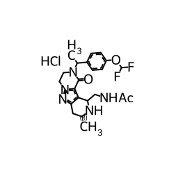 CC(=O)NCC1N[C@H](C)Cc2nn3c(c21)C(=O)N(C(C)c1ccc(OC(F)F)cc1)CC3.Cl